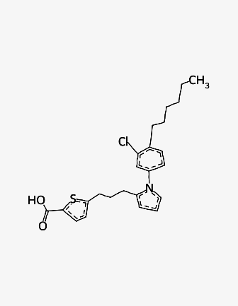 CCCCCCc1ccc(-n2cccc2CCCc2ccc(C(=O)O)s2)cc1Cl